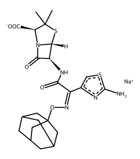 CC1(C)S[C@@H]2[C@@H](NC(=O)/C(=N\OC34CC5CC(CC(C5)C3)C4)c3csc(N)n3)C(=O)N2[C@H]1C(=O)[O-].[Na+]